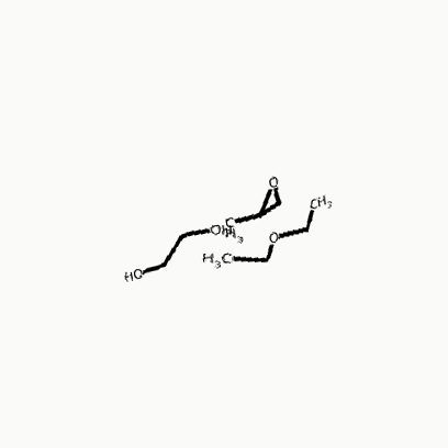 CC1CO1.CCOCC.OCCO